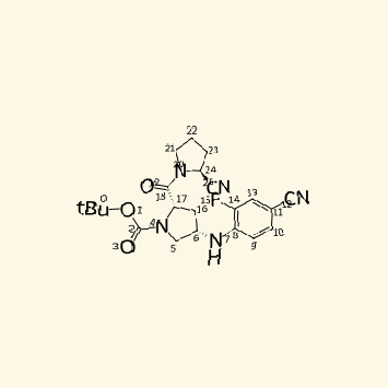 CC(C)(C)OC(=O)N1C[C@@H](Nc2ccc(C#N)cc2F)C[C@H]1C(=O)N1CCC[C@H]1C#N